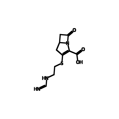 N=CNCCSC1=C(C(=O)O)N2C(=O)CC2C1